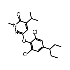 CCC(CC)c1cc(Cl)c(Oc2cc(C(C)C)c(=O)n(C)n2)c(Cl)c1